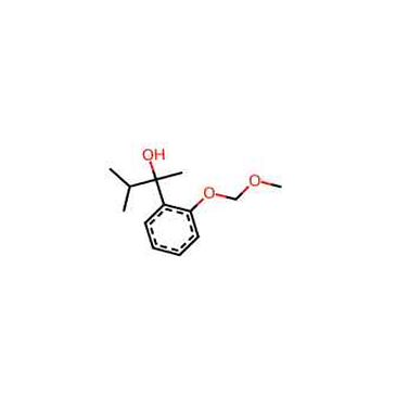 COCOc1ccccc1C(C)(O)C(C)C